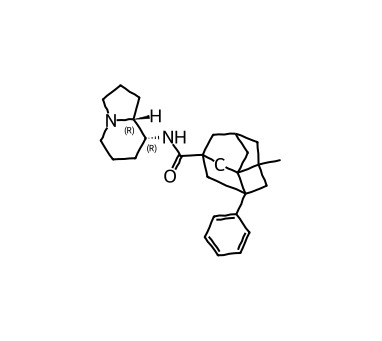 CC12CC3CC4(C(=O)N[C@@H]5CCCN6CCC[C@H]56)CC(c5ccccc5)(C1)C2(C3)C4